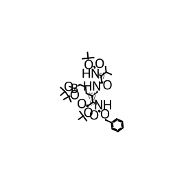 CC(C)[C@H](NC(=O)OC(C)(C)C)C(=O)NC[C@H](CCCB1OC(C)(C)C(C)(C)O1)[C@H](NC(=O)OCc1ccccc1)C(=O)OC(C)(C)C